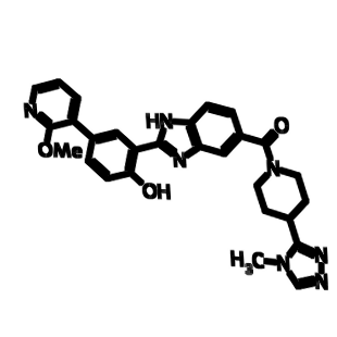 COc1ncccc1-c1ccc(O)c(-c2nc3cc(C(=O)N4CCC(c5nncn5C)CC4)ccc3[nH]2)c1